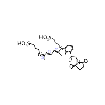 CC(/C=C/C=C(\C)N(CCCS(=O)(=O)O)c1cccc(C(=O)CN2C(=O)CCC2=O)c1C)=N/CCCS(=O)(=O)O